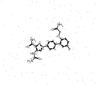 NC(=O)COc1ccc(F)cc1-c1ccc(-n2cc(NC(N)=O)c(C(N)=O)n2)cc1